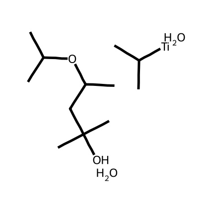 CC(C)OC(C)CC(C)(C)O.C[CH](C)[Ti].O.O